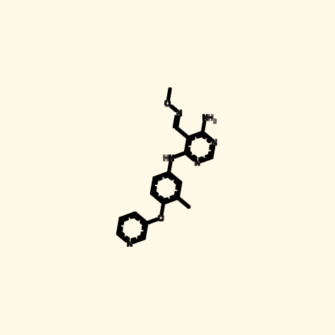 CON=Cc1c(N)ncnc1Nc1ccc(Oc2cccnc2)c(C)c1